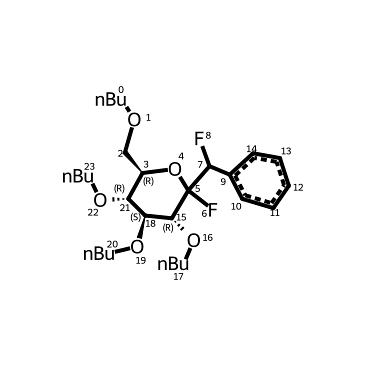 CCCCOC[C@H]1OC(F)(C(F)c2ccccc2)[C@H](OCCCC)[C@@H](OCCCC)[C@@H]1OCCCC